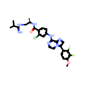 COc1ccc(-c2cnc3c(Nc4ccc(C(=O)N[C@H](C)CNC(=N)C(C)C)c(Cl)c4)nccn23)c(F)c1F